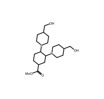 COC(=O)C1CCC(N2CCC(CO)CC2)C(N2CCC(CO)CC2)C1